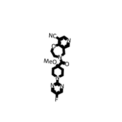 COC1(C(=O)N2CCOc3c(C#N)cncc3C2)CCN(c2ncc(F)cn2)CC1